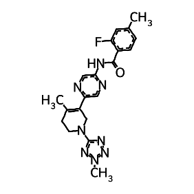 CC1=C(c2cnc(NC(=O)c3ccc(C)cc3F)cn2)CN(c2nnn(C)n2)CC1